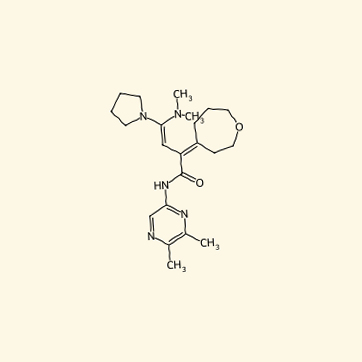 Cc1ncc(NC(=O)C(/C=C(\N(C)C)N2CCCC2)=C2/CCCOCC2)nc1C